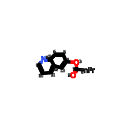 CCCC(=O)Oc1ccc2ncccc2c1